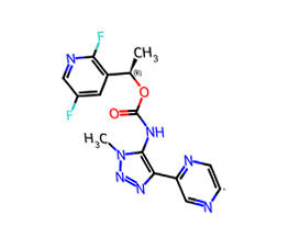 C[C@@H](OC(=O)Nc1c(-c2cn[c]cn2)nnn1C)c1cc(F)cnc1F